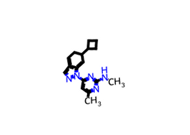 CNc1nc(C)cc(-n2ncc3c2=CC(C2CCC2)CC=3)n1